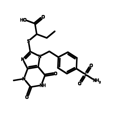 CCC(Sc1nc2c(c(=O)[nH]c(=O)n2C)n1Cc1ccc(S(N)(=O)=O)cc1)C(=O)O